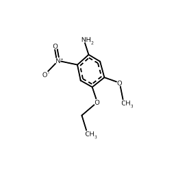 CCOc1cc([N+](=O)[O-])c(N)cc1OC